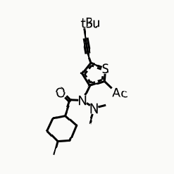 CC(=O)c1sc(C#CC(C)(C)C)cc1N(C(=O)C1CCC(C)CC1)N(C)C